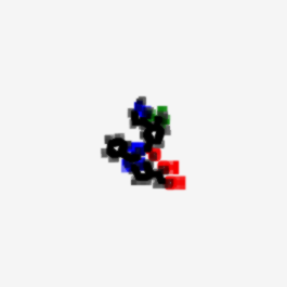 Cn1ccc(-c2cc(C(=O)Nc3c(-c4ccccc4)nc4ccc(C(O)CO)cn34)ccc2C(F)(F)F)n1